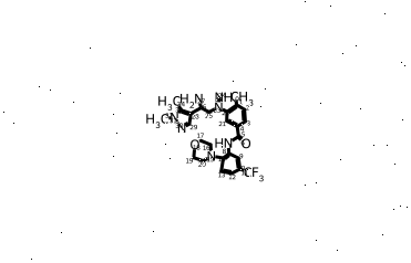 Cc1ccc(C(=O)Nc2cc(C(F)(F)F)ccc2N2CCOCC2)cc1N(N)CC(N)c1cnn(C)c1C